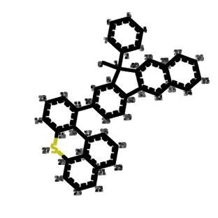 CC1(c2ccccc2)c2cc(-c3cccc4c3-c3cccc5cccc(c35)S4)ccc2-c2cc3ccccc3cc21